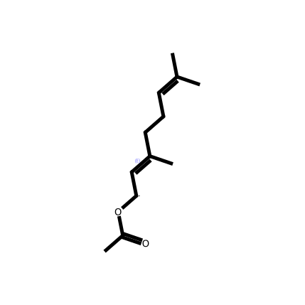 CC(=O)O[CH]/C=C(\C)CCC=C(C)C